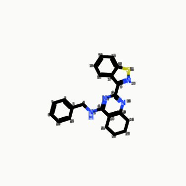 c1ccc(CNc2nc(-c3nsc4ccccc34)nc3c2CCCC3)cc1